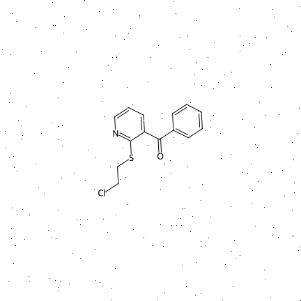 O=C(c1ccccc1)c1cccnc1SCCCl